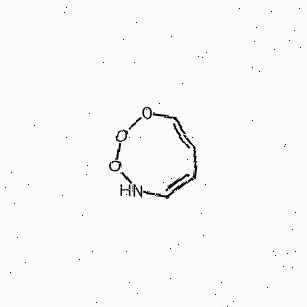 C1=CNOOOC=C1